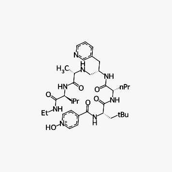 CCC[C@H](NC(=O)[C@H](CC(C)(C)C)NC(=O)c1cc[n+](O)cc1)C(=O)N[C@H](CN[C@@H](C)C(=O)N[C@H](C(=O)NCC)C(C)C)Cc1cccnc1